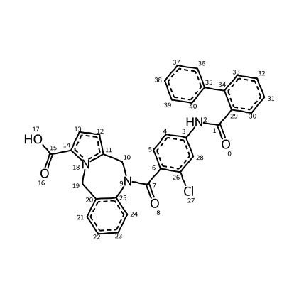 O=C(Nc1ccc(C(=O)N2Cc3ccc(C(=O)O)n3Cc3ccccc32)c(Cl)c1)c1ccccc1-c1ccccc1